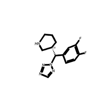 Fc1ccc(C([C@H]2CCCNC2)n2ncnn2)cc1F